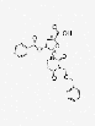 O=C(OC1C[C@@H](C(=O)O)O[C@H]1n1ccc(=O)n(COCc2ccccc2)c1=O)c1ccccc1